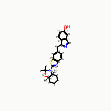 CC1(C)O[C@@H]2CCCC[C@H]2N1c1nc2ccc(CC3N=Cc4cc(O)ccc43)cc2s1